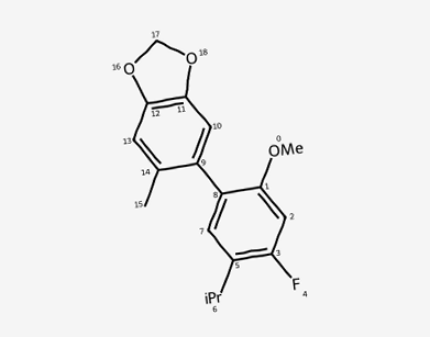 COc1cc(F)c(C(C)C)cc1-c1cc2c(cc1C)OCO2